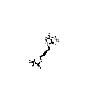 CCOP(=O)(OCC)C(=O)OCC#CCOC(=O)P(C)(C)=O